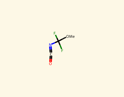 COC(F)(F)N=C=O